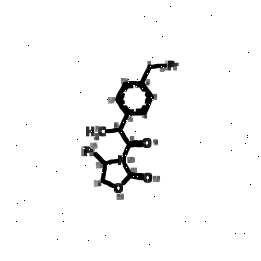 CC(C)Cc1ccc(C(C)C(=O)N2C(=O)OCC2C(C)C)cc1